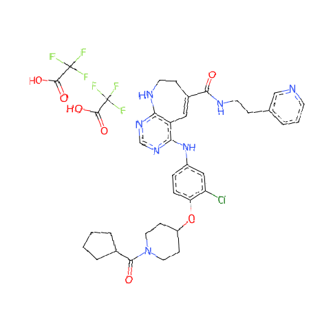 O=C(NCCc1cccnc1)C1=Cc2c(ncnc2Nc2ccc(OC3CCN(C(=O)C4CCCC4)CC3)c(Cl)c2)NCC1.O=C(O)C(F)(F)F.O=C(O)C(F)(F)F